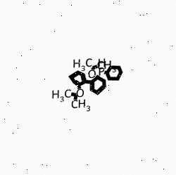 CC(C)Oc1ccccc1C1=CC=CCC1(OC(C)C)PC1CCCCC1